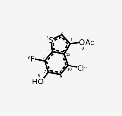 CC(=O)Oc1csc2c(F)c(O)cc(Cl)c12